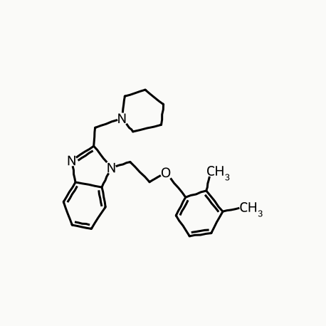 Cc1cccc(OCCn2c(CN3CCCCC3)nc3ccccc32)c1C